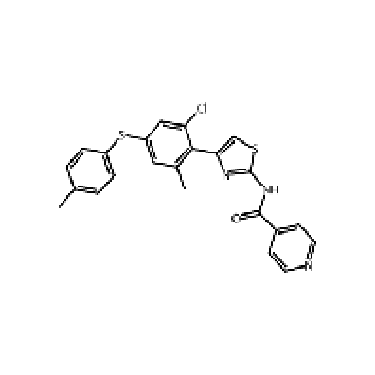 Cc1ccc(Sc2cc(C)c(-c3csc(NC(=O)c4ccncc4)n3)c(Cl)c2)cc1